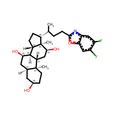 CC(CCc1nc2cc(F)c(F)cc2o1)[C@H]1CC[C@H]2[C@@H]3[C@H](O)C[C@@H]4C[C@H](O)CC[C@]4(C)[C@H]3C[C@H](O)[C@]12C